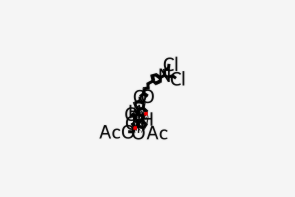 CC(=O)OCC(=O)[C@@]1(OC(C)=O)CC[C@H]2[C@@H]3CC=C4C=C(OC(=O)CCCc5ccc(N(CCCl)CCCl)cc5)CC[C@]4(C)[C@H]3C(=O)C[C@@]21C